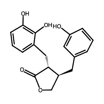 O=C1OC[C@H](Cc2cccc(O)c2)[C@H]1Cc1cccc(O)c1O